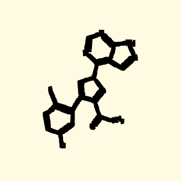 Cc1ccc(Cl)cc1-c1cn(-c2ncnc3[nH]ncc23)cc1C(N)=O